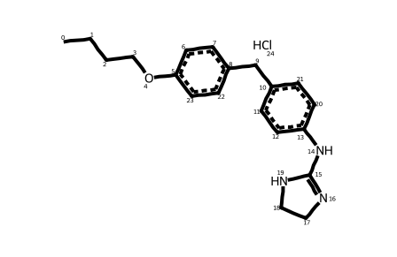 CCCCOc1ccc(Cc2ccc(NC3=NCCN3)cc2)cc1.Cl